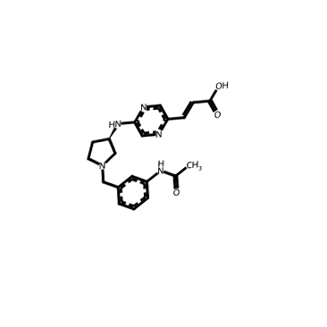 CC(=O)Nc1cccc(CN2CC[C@@H](Nc3cnc(/C=C/C(=O)O)cn3)C2)c1